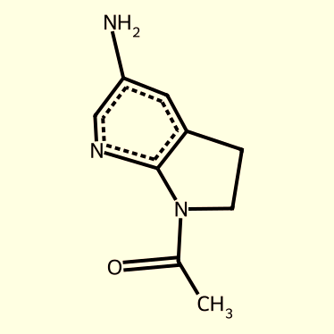 CC(=O)N1CCc2cc(N)cnc21